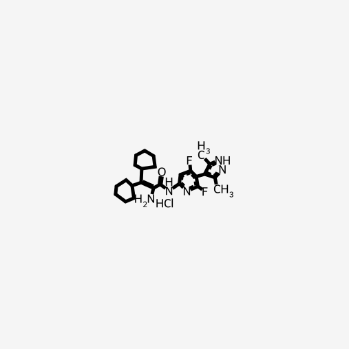 Cc1n[nH]c(C)c1-c1c(F)cc(NC(=O)C(N)=C(C2CCCCC2)C2CCCCC2)nc1F.Cl